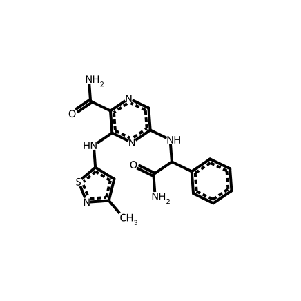 Cc1cc(Nc2nc(NC(C(N)=O)c3ccccc3)cnc2C(N)=O)sn1